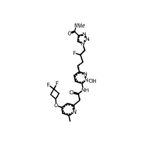 CNC(=O)c1cn(CC(F)CCc2ccc(NC(=O)Cc3cc(OC4CC(F)(F)C4)cc(C)n3)nn2)nn1.Cl